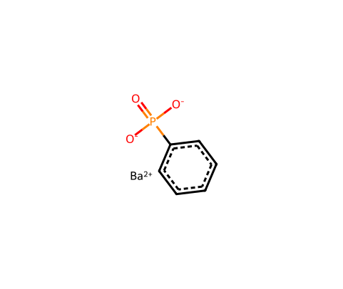 O=P([O-])([O-])c1ccccc1.[Ba+2]